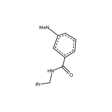 CNc1cccc(C(=O)NCC(C)C)c1